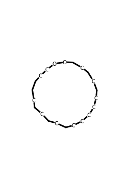 C1CCCCCCCCCCOOCCCCCCCCC1